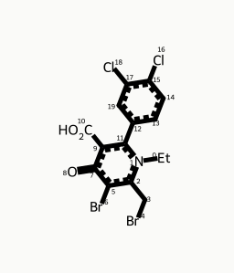 CCn1c(CBr)c(Br)c(=O)c(C(=O)O)c1-c1ccc(Cl)c(Cl)c1